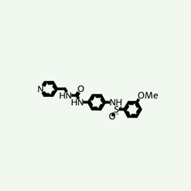 COc1cccc([S+]([O-])Nc2ccc(NC(=O)NCc3ccncc3)cc2)c1